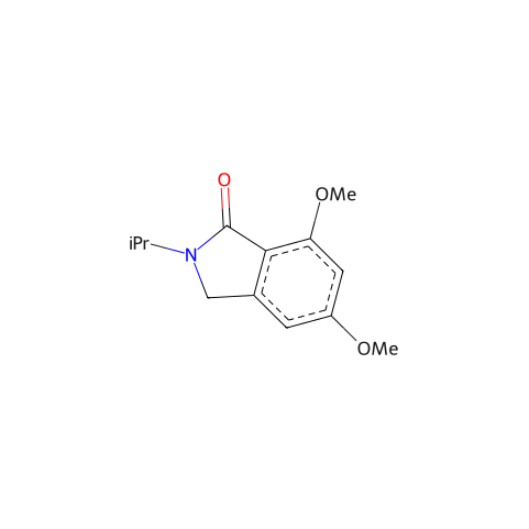 COc1cc2c(c(OC)c1)C(=O)N(C(C)C)C2